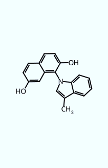 Cc1cn(-c2c(O)ccc3ccc(O)cc23)c2ccccc12